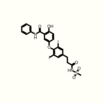 CS(=O)(=O)NC(=O)CCc1cc(I)c(Oc2ccc(O)c(C(=O)Nc3ccccc3)c2)c(I)c1